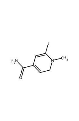 CN1CC=C(C(N)=O)C=C1I